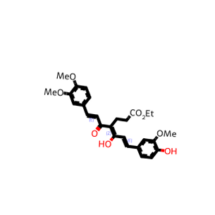 CCOC(=O)CC/C(C(=O)/C=C/c1ccc(OC)c(OC)c1)=C(O)\C=C\c1ccc(O)c(OC)c1